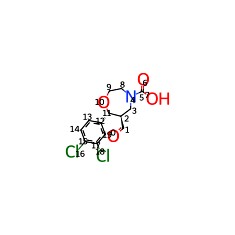 O=C[C@@H]1CN(C(=O)O)CCO[C@H]1c1ccc(Cl)c(Cl)c1